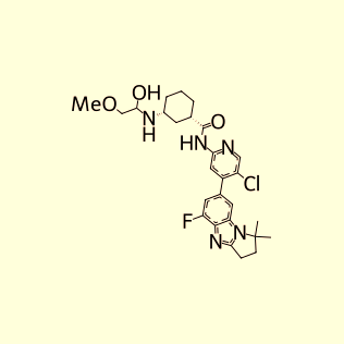 COCC(O)N[C@@H]1CCC[C@H](C(=O)Nc2cc(-c3cc(F)c4nc5n(c4c3)C(C)(C)CC5)c(Cl)cn2)C1